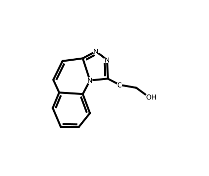 OCCc1nnc2ccc3ccccc3n12